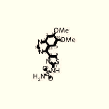 COc1cc2ncnc(-c3csc(NS(N)(=O)=O)n3)c2cc1OC